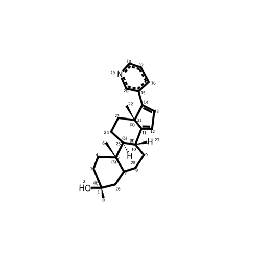 C[C@@]1(O)CC[C@@]2(C)C(CC[C@H]3C4=CC=C(c5cccnc5)[C@@]4(C)CC[C@@H]32)C1